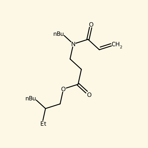 C=CC(=O)N(CCCC)CCC(=O)OCC(CC)CCCC